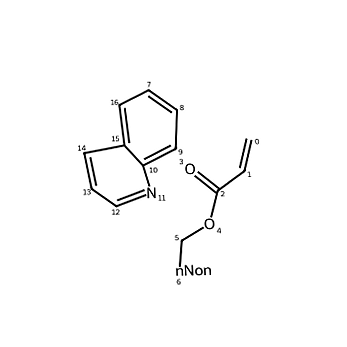 C=CC(=O)OCCCCCCCCCC.c1ccc2ncccc2c1